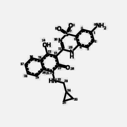 Nc1ccc2c(c1)S(=O)(=O)N=C(c1c(O)c3ccccc3n(NCC3CC3)c1=O)N2